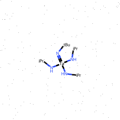 CC(C)[NH][Ta](=[N]C(C)(C)C)([NH]C(C)C)[NH]C(C)C